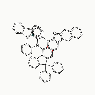 c1ccc(C2(c3ccccc3)c3ccccc3-c3c(N(c4ccccc4-c4cccc5c4oc4cc6ccccc6cc45)c4ccccc4-n4c5ccccc5c5ccccc54)cccc32)cc1